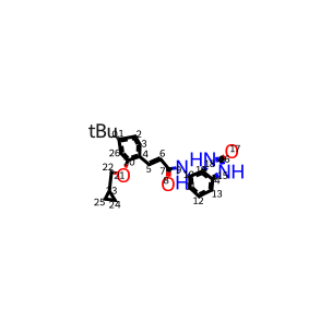 CC(C)(C)c1ccc(/C=C/C(=O)Nc2cccc3[nH]c(=O)[nH]c23)c(OCC2CC2)c1